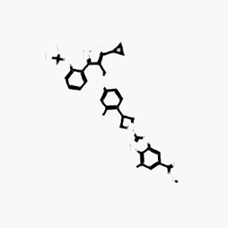 COC(=O)c1cc(F)c2nc(N3CC(c4ccc(OCc5c(-c6ccccc6OC(F)(F)F)noc5C5CC5)cc4Cl)C3)sc2c1